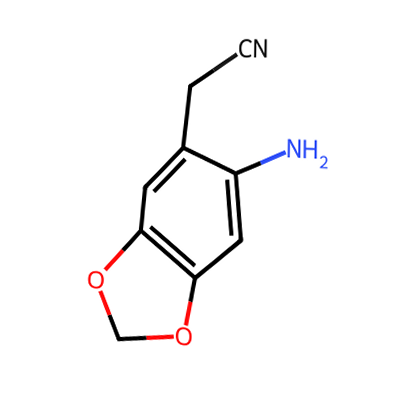 N#CCc1cc2c(cc1N)OCO2